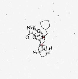 CC(C)(C)OC(=O)N(CCN1[C@@H]2CC[C@H]1C[C@@H](c1cccc(C(N)=O)c1)C2)CC1CCCCC1